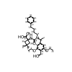 CCOc1cc(C(C)N(CCCCc2ccccc2)C(=O)NC2(C(=O)O)CC(F)(F)C2)cc(OCC)c1CO